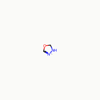 C1=[N+]NCO1